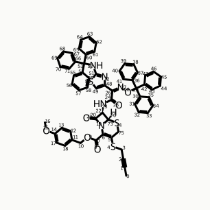 CC#CCSC1=C(C(=O)OCc2ccc(OC)cc2)N2C(=O)[C@@H](NC(=O)/C(=N\OC(c3ccccc3)(c3ccccc3)c3ccccc3)c3csc(NC(c4ccccc4)(c4ccccc4)c4ccccc4)n3)[C@@H]2SC1